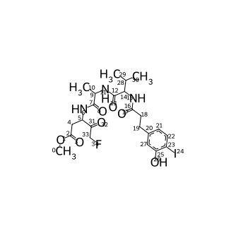 COC(=O)CC(NC(=O)C(C)NC(=O)C(NC(=O)CCc1ccc(I)c(O)c1)C(C)C)C(=O)CF